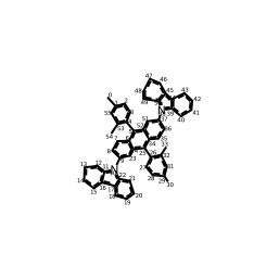 Cc1ccc(-c2c3ccc(-n4c5ccccc5c5ccccc54)cc3c(-c3ccc(C)cc3C)c3ccc(-n4c5ccccc5c5ccccc54)cc23)c(C)c1